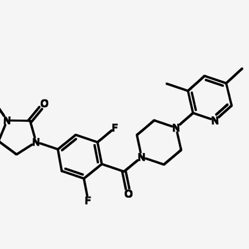 Cc1cnc(N2CCN(C(=O)c3c(F)cc(N4CCN(C)C4=O)cc3F)CC2)c(C)c1